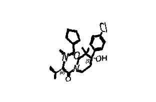 CC(C)[C@H](C(=O)N1CC[C@](O)(c2ccc(Cl)cc2)C(C)(C)C1)N(C)C(=O)C1CCCC1